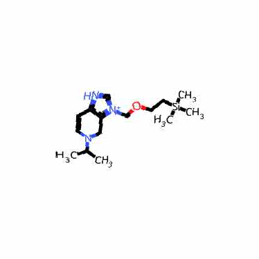 CC(C)N1C=Cc2[nH]c[n+](COCC[Si](C)(C)C)c2C1